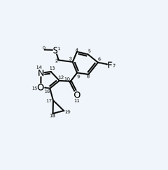 CSCc1ccc(F)cc1C(=O)c1cnoc1C1CC1